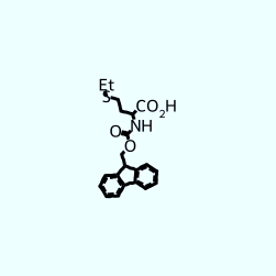 CCSCCC(NC(=O)OCC1c2ccccc2-c2ccccc21)C(=O)O